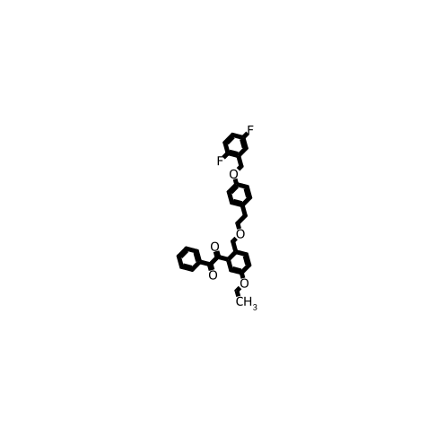 CCOC1=CC(C(=O)C(=O)c2ccccc2)C(COCCc2ccc(OCc3cc(F)ccc3F)cc2)C=C1